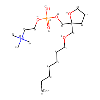 CCCCCCCCCCCCCCCCOCC1(COP(=O)(O)OCC[N+](C)(C)C)CCCO1